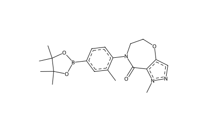 Cc1cc(B2OC(C)(C)C(C)(C)O2)ccc1N1CCOc2cnn(C)c2C1=O